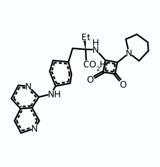 CC[C@@](Cc1ccc(Nc2nccc3ccncc23)cc1)(Nc1c(N2CCCCC2)c(=O)c1=O)C(=O)O